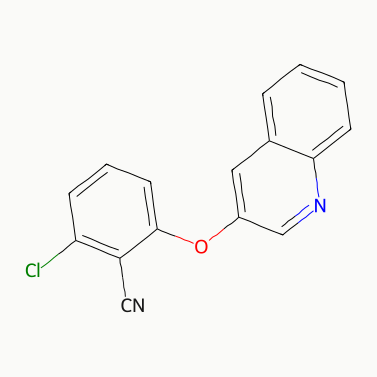 N#Cc1c(Cl)cccc1Oc1cnc2ccccc2c1